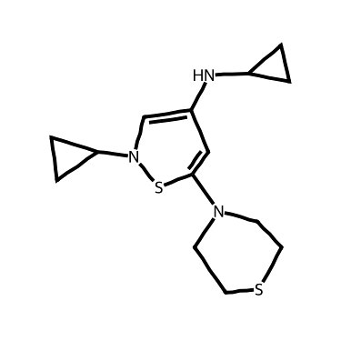 C1=C(NC2CC2)C=C(N2CCSCC2)SN1C1CC1